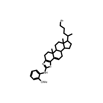 COc1ccccc1Nc1nc2c(s1)C1=CCC3C(CCC4(C)C(C(C)CCCC(C)C)CCC34)C1(C)CC2